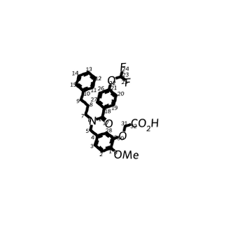 COc1ccc(CN(CCCc2ccccc2)C(=O)c2ccc(OC(F)F)cc2)cc1OCC(=O)O